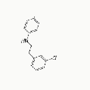 Clc1cccc(CCNc2cc[c]cc2)c1